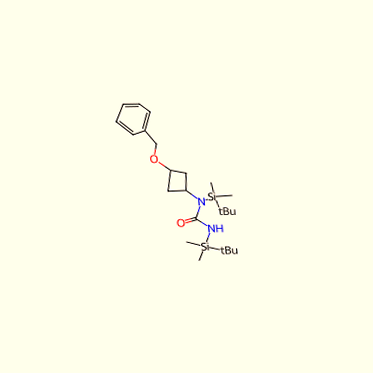 CC(C)(C)[Si](C)(C)NC(=O)N(C1CC(OCc2ccccc2)C1)[Si](C)(C)C(C)(C)C